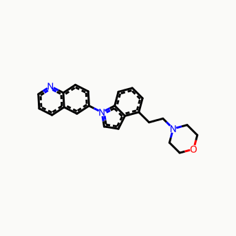 c1cnc2ccc(-n3ccc4c(CCN5CCOCC5)cccc43)cc2c1